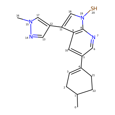 CC1CC=C(c2cnc3c(c2)c(-c2cnn(C)c2)cn3S)CC1